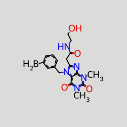 Bc1cccc(Cn2c(CC(=O)NCCO)nc3c2c(=O)n(C)c(=O)n3C)c1